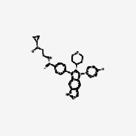 O=C(NCC[S+]([O-])C1CC1)c1ccc(-c2c(C3CCOCC3)n(-c3ccc(F)cc3)c3cc4cn[nH]c4cc23)cc1